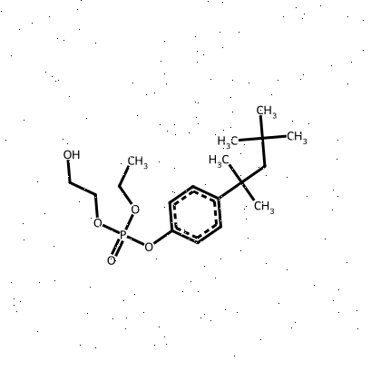 CCOP(=O)(OCCO)Oc1ccc(C(C)(C)CC(C)(C)C)cc1